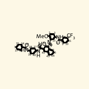 COc1ccc(NC(=O)c2cccc(C(F)(F)F)c2)cc1N=Nc1c(O)c(C(=O)Nc2ccc(NC(=O)c3ccccc3)cc2)cc2ccccc12